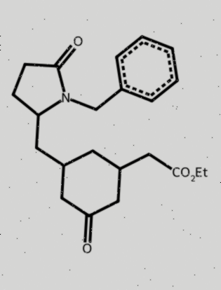 CCOC(=O)CC1CC(=O)CC(CC2CCC(=O)N2Cc2ccccc2)C1